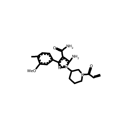 C=CC(=O)N1CCCC(n2nc(-c3ccc(C)c(OC)c3)c(C(N)=O)c2N)C1